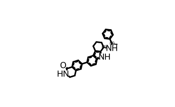 C[C@@H](N[C@@H]1CCCc2c1[nH]c1ccc(-c3ccc4c(c3)CCNC4=O)cc21)c1ccccc1